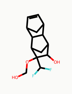 OCOC1(C(F)F)C(O)C2CC1C1C3C=CC(C3)C21